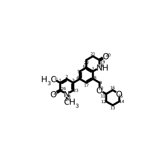 Cc1cc(-c2cc3c(c(COC4CCCOC4)c2)NC(=O)CC3)cn(C)c1=O